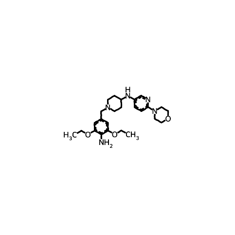 CCOc1cc(CN2CCC(Nc3ccc(N4CCOCC4)nc3)CC2)cc(OCC)c1N